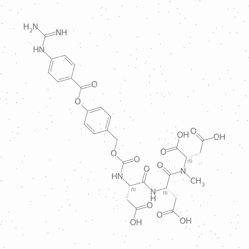 CN(C(=O)[C@H](CC(=O)O)NC(=O)[C@H](CC(=O)O)NC(=O)OCc1ccc(OC(=O)c2ccc(NC(=N)N)cc2)cc1)[C@@H](CC(=O)O)C(=O)O